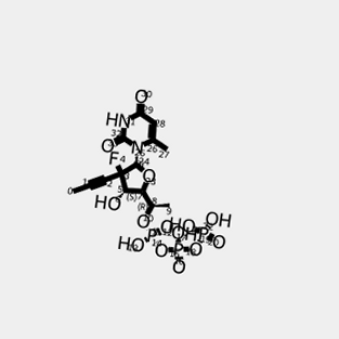 CC#CC1(F)[C@@H](O)C([C@@H](C)OP(=O)(O)OP(=O)(O)OP(=O)(O)O)O[C@H]1n1c(C)cc(=O)[nH]c1=O